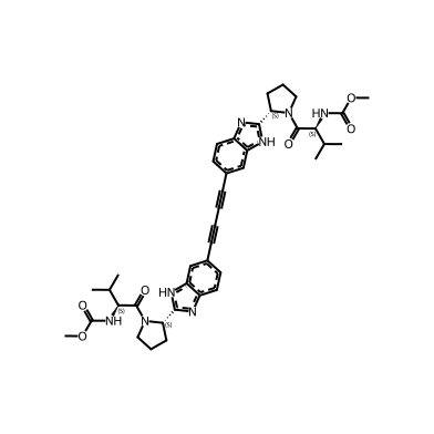 COC(=O)N[C@H](C(=O)N1CCC[C@H]1c1nc2ccc(C#CC#Cc3ccc4nc([C@@H]5CCCN5C(=O)[C@@H](NC(=O)OC)C(C)C)[nH]c4c3)cc2[nH]1)C(C)C